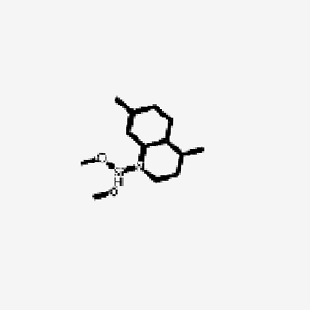 CO[SiH](OC)N1CCC(C)C2CCC(C)CC21